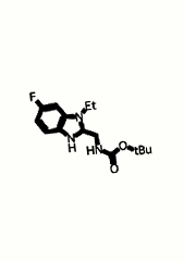 CCN1c2cc(F)ccc2NC1CNC(=O)OC(C)(C)C